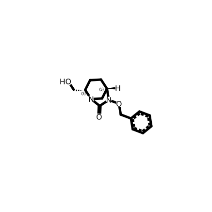 O=C1N2C[C@H](CC[C@H]2CO)N1OCc1ccccc1